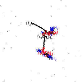 CCCCCCCCCCCCCCCCCCOC[C@H](COP(=O)(O)O[C@@H](C)[C@@]1(C#N)O[C@@H](c2ccc3c(N)ncnn23)[C@H](O)[C@@H]1O)Oc1ccc(C#N)c(OC(C)CC(CCC)CCCCCCCCCCCCCCOCC(COP(=O)(O)OC[C@@]2(C#N)O[C@@H](c3ccc4c(N)ncnn34)[C@H](O)[C@@H]2O)OCc2cnc(C#N)cn2)c1